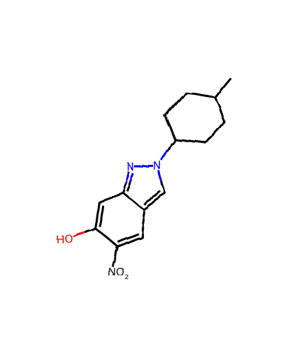 CC1CCC(n2cc3cc([N+](=O)[O-])c(O)cc3n2)CC1